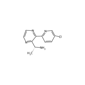 C[C@@H](N)c1nccnc1-c1ccc(Cl)cn1